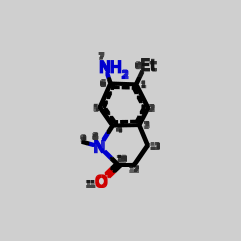 CCc1cc2c(cc1N)N(C)C(=O)CC2